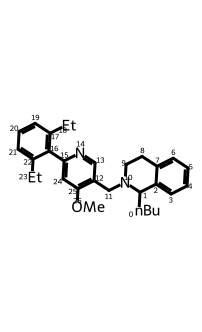 CCCCC1c2ccccc2CCN1Cc1cnc(-c2c(CC)cccc2CC)cc1OC